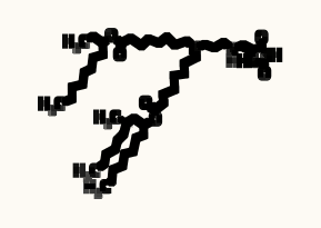 CCCCCCCCC(CC)OC(=O)CCCCCCCN(CCCCCCCC(=O)OC(CCCCCCCC)C[C@H](C)CCCCCC)CCCN/C=C1\NC(=O)NC1=O